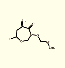 C=C1CC(F)OCN(OCNC=O)C1=O